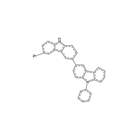 CC(C)c1ccc2[nH]c3ccc(-c4ccc5c(c4)c4ccccc4n5-c4ccccc4)cc3c2c1